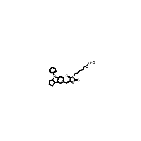 O=COCCCCCN1C(=O)/C(=C\c2ccc3c(c2)C2CCCC2N3c2ccccc2)SC1=S